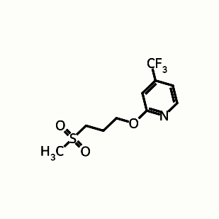 CS(=O)(=O)CCCOc1cc(C(F)(F)F)ccn1